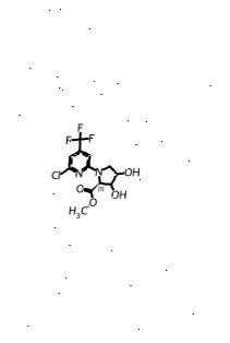 COC(=O)[C@@H]1C(O)C(O)CN1c1cc(C(F)(F)F)cc(Cl)n1